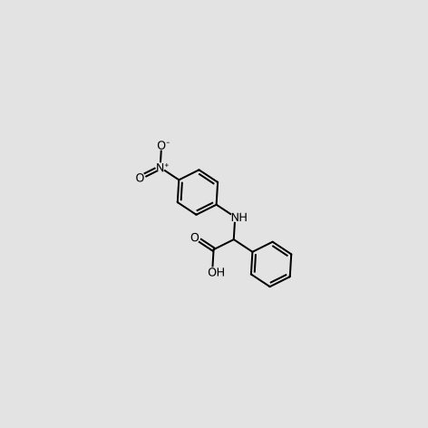 O=C(O)C(Nc1ccc([N+](=O)[O-])cc1)c1ccccc1